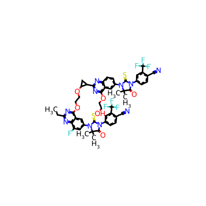 CCc1nc(OCCOC2CC2c2nc(OCCO)c3cc(N4C(=S)N(c5ccc(C#N)c(C(F)(F)F)c5)C(=O)C4(C)C)ccc3n2)c2cc(N3C(=S)N(c4ccc(C#N)c(C(F)(F)F)c4)C(=O)C3(C)C)cc(F)c2n1